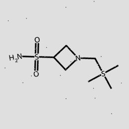 CS(C)(C)CN1CC(S(N)(=O)=O)C1